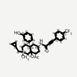 CC(=O)OC12CC[C@@H](NC(=O)C#Cc3ccc(C(F)(F)F)cc3)C[C@]1(c1cccc(O)c1)CC[N@+](C)(CC1CC1)C2